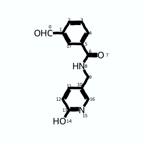 O=Cc1cccc(C(=O)NCc2ccc(O)nc2)c1